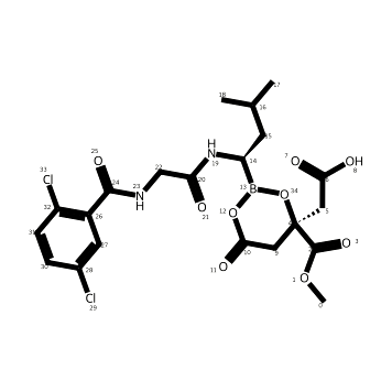 COC(=O)[C@@]1(CC(=O)O)CC(=O)OB([C@H](CC(C)C)NC(=O)CNC(=O)c2cc(Cl)ccc2Cl)O1